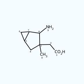 CC1(CC(=O)O)CC2CC2C1N